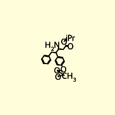 CC(C)OC(=O)CC(N)C(Cc1ccccc1)c1ccc(OS(C)(=O)=O)cc1